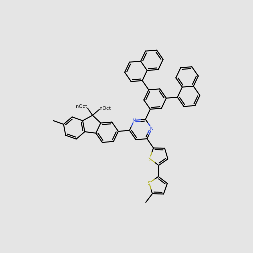 CCCCCCCCC1(CCCCCCCC)c2cc(C)ccc2-c2ccc(-c3cc(-c4ccc(-c5ccc(C)s5)s4)nc(-c4cc(-c5cccc6ccccc56)cc(-c5cccc6ccccc56)c4)n3)cc21